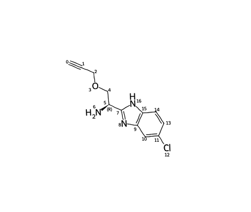 C#CCOC[C@H](N)c1nc2cc(Cl)ccc2[nH]1